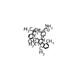 Cc1ccc(C(C)C)nc1OCc1c(C)nc(-c2c(C)cccc2C)nc1N1CCN(CC(N)=O)[C@H](C)C1